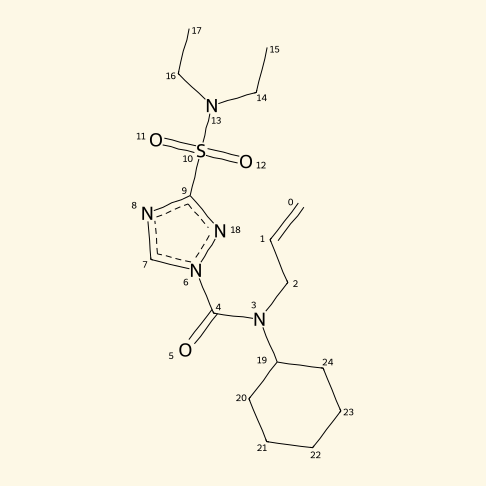 C=CCN(C(=O)n1cnc(S(=O)(=O)N(CC)CC)n1)C1CCCCC1